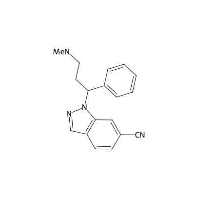 CNCCC(c1ccccc1)n1ncc2ccc(C#N)cc21